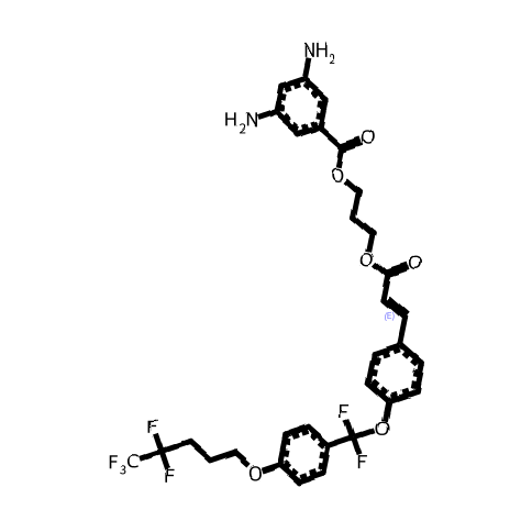 Nc1cc(N)cc(C(=O)OCCCOC(=O)/C=C/c2ccc(OC(F)(F)c3ccc(OCCCC(F)(F)C(F)(F)F)cc3)cc2)c1